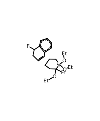 CCOC1(CC)CCCC[Si]1(OCC)OCC.FC1CC=Cc2ccccc21